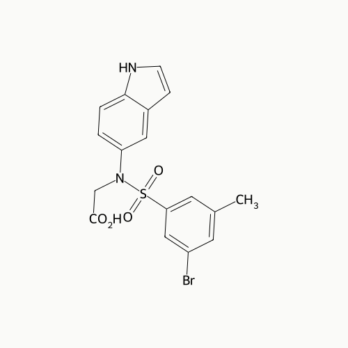 Cc1cc(Br)cc(S(=O)(=O)N(CC(=O)O)c2ccc3[nH]ccc3c2)c1